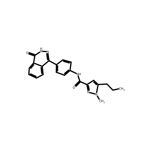 CCCc1cc(C(=O)Nc2ccc(-c3n[nH]c(=O)c4ccccc34)cc2)nn1C